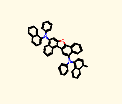 CC1C=CC(N(c2ccccc2)c2cc3c(oc4cc(N(c5ccccc5)c5cccc6ccccc56)c5ccccc5c43)c3ccccc23)=C2C=CC=CC21